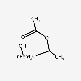 CC(=O)OC(C)C.CCCCCO